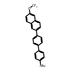 CCCCc1ccc(-c2ccc(-c3ccc4cc(OC(F)(F)F)ccc4c3)cc2)cc1